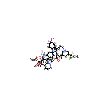 CC[C@]12C=CCN3CC[C@@]4(c5cc([C@@]6(C(=O)OC)C[C@H]7CC(C(C)(F)F)CN(CCc8c6[nH]c6ccc(I)cc86)C7)c(OC)cc5N(C)[C@H]4[C@@](O)(C(=O)OC)[C@@H]1OC(C)=O)[C@@H]32